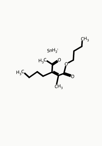 CCCCOC(=O)C(C)=C(CCCC)C(C)=O.[SnH2]